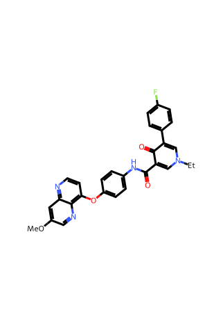 CCn1cc(C(=O)Nc2ccc(Oc3ccnc4cc(OC)cnc34)cc2)c(=O)c(-c2ccc(F)cc2)c1